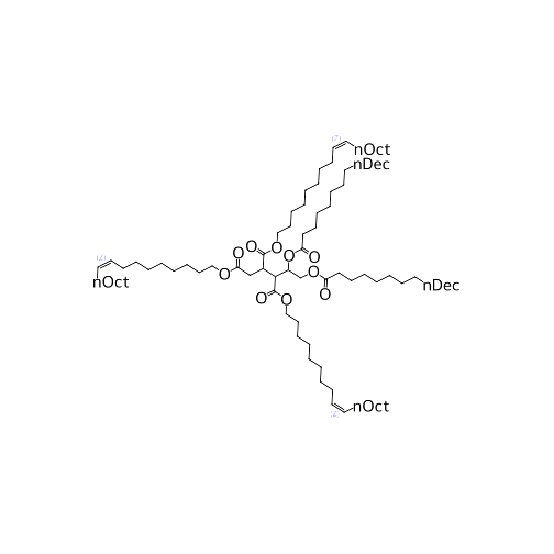 CCCCCCCC/C=C\CCCCCCCCOC(=O)CC(C(=O)OCCCCCCCC/C=C\CCCCCCCC)C(C(=O)OCCCCCCCC/C=C\CCCCCCCC)C(COC(=O)CCCCCCCCCCCCCCCCC)OC(=O)CCCCCCCCCCCCCCCCC